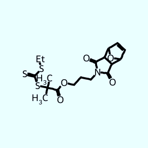 CCSC(=S)SC(C)(C)C(=O)OCCCN1C(=O)C2C3C=CC(O3)C2C1=O